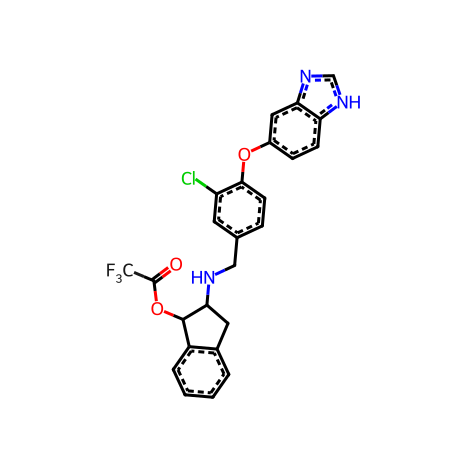 O=C(OC1c2ccccc2CC1NCc1ccc(Oc2ccc3[nH]cnc3c2)c(Cl)c1)C(F)(F)F